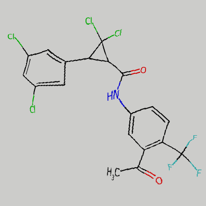 CC(=O)c1cc(NC(=O)C2C(c3cc(Cl)cc(Cl)c3)C2(Cl)Cl)ccc1C(F)(F)F